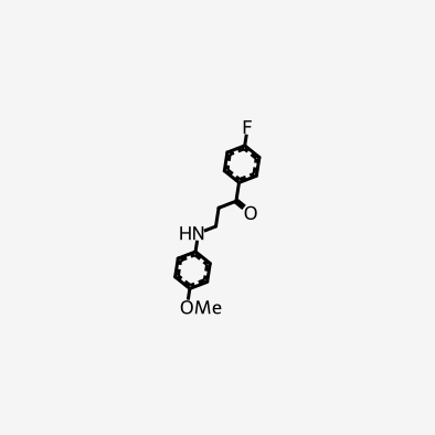 COc1ccc(NCCC(=O)c2ccc(F)cc2)cc1